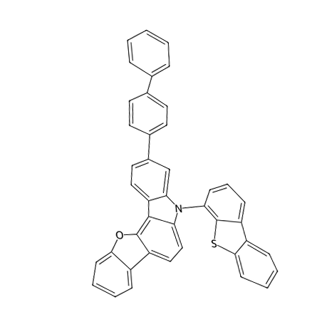 c1ccc(-c2ccc(-c3ccc4c5c6oc7ccccc7c6ccc5n(-c5cccc6c5sc5ccccc56)c4c3)cc2)cc1